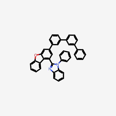 c1ccc(-c2cccc(-c3cccc(-c4cc(-c5nc6ccccc6n5-c5ccccc5)c5c(c4)oc4ccccc45)c3)c2)cc1